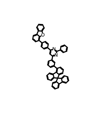 c1ccc(-c2nc(-c3ccc(-c4cccc5c4oc4ccccc45)cc3)cc(-c3cccc(-c4cccc5c4-c4ccccc4C54c5ccccc5-c5ccccc54)c3)n2)cc1